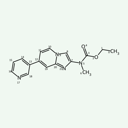 CCOC(=O)N(C)c1cn2ccc(-c3cccnc3)cc2n1